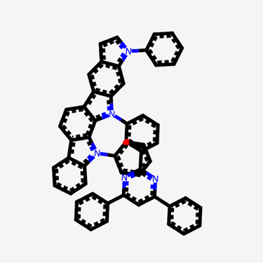 c1ccc(-c2cc(-c3ccccc3)nc(-c3cccc(-n4c5cc6c(ccn6-c6ccccc6)cc5c5ccc6c7ccccc7n(-c7ccccc7)c6c54)c3)n2)cc1